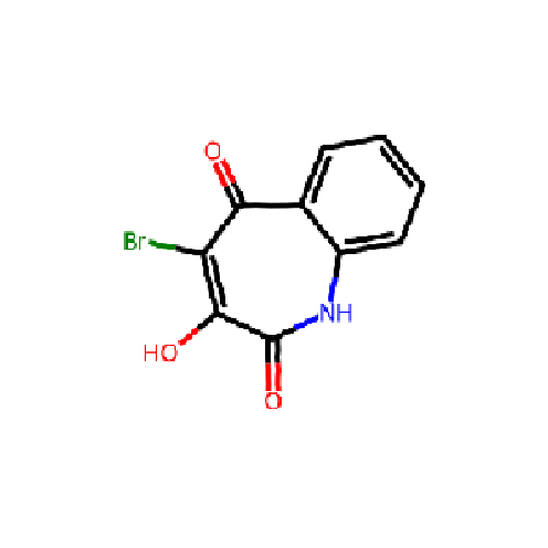 O=c1[nH]c2ccccc2c(=O)c(Br)c1O